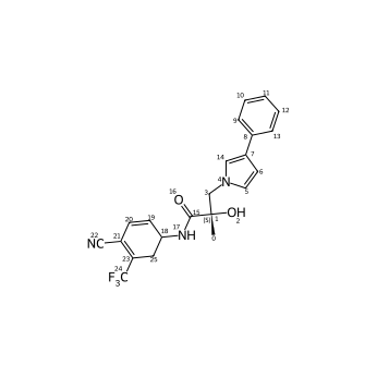 C[C@](O)(Cn1ccc(-c2ccccc2)c1)C(=O)NC1C=CC(C#N)=C(C(F)(F)F)C1